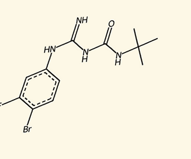 CC(C)(C)NC(=O)NC(=N)Nc1ccc(Br)c(F)c1